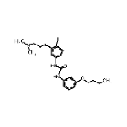 CCCCOc1cccc(NC(=O)Nc2ccc(I)c(OCCN(C)C)c2)c1